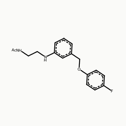 CC(=O)NCCNc1c[c]cc(COc2ccc(F)cc2)c1